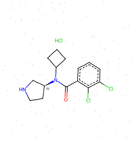 Cl.O=C(c1cccc(Cl)c1Cl)N(C1CCC1)[C@H]1CCNC1